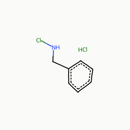 Cl.ClNCc1ccccc1